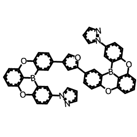 c1cc2c3c(c1)Oc1ccc(-n4cccn4)cc1B3c1cc(-c3coc(-c4ccc5c(c4)B4c6cc(-n7cccn7)ccc6Oc6cccc(c64)O5)c3)ccc1O2